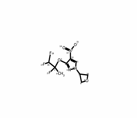 CC(F)(Oc1nn(C2COC2)cc1[N+](=O)[O-])C(F)F